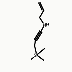 C=CCNC#CC[Si](C)(C)C